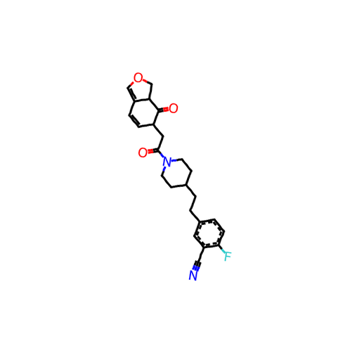 N#Cc1cc(CCC2CCN(C(=O)CC3C=CC4=COCC4C3=O)CC2)ccc1F